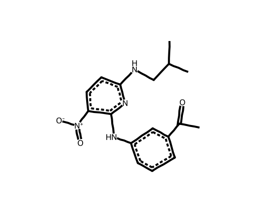 CC(=O)c1cccc(Nc2nc(NCC(C)C)ccc2[N+](=O)[O-])c1